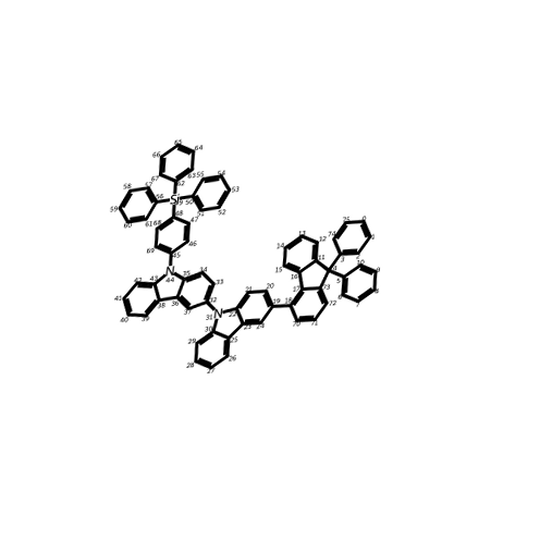 c1ccc(C2(c3ccccc3)c3ccccc3-c3c(-c4ccc5c(c4)c4ccccc4n5-c4ccc5c(c4)c4ccccc4n5-c4ccc([Si](c5ccccc5)(c5ccccc5)c5ccccc5)cc4)cccc32)cc1